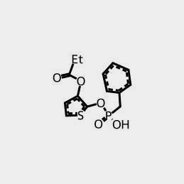 CCC(=O)Oc1ccsc1OP(=O)(O)Cc1ccccc1